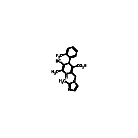 CC1=C(C#N)C(c2ccccc2C(F)(F)F)C(C(=O)O)=C(Cn2ccnc2C)N1